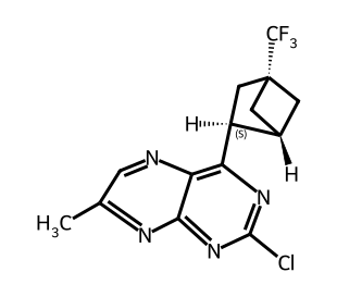 Cc1cnc2c([C@H]3C[C@]4(C(F)(F)F)C[C@@H]3C4)nc(Cl)nc2n1